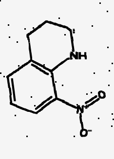 O=[N+]([O-])c1cccc2c1N[C]CC2